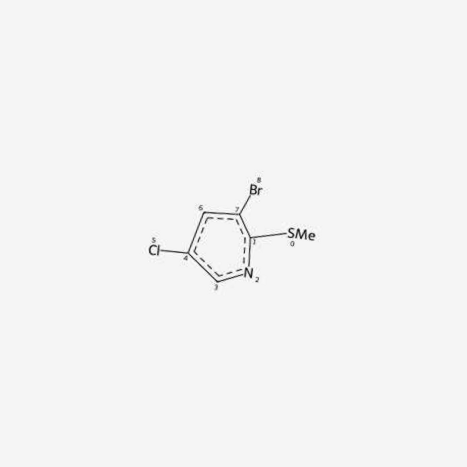 CSc1ncc(Cl)cc1Br